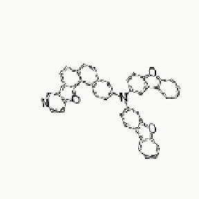 c1ccc2c(c1)oc1cc(N(c3ccc4c(ccc5ccc6c7cnccc7oc6c54)c3)c3ccc4oc5ccccc5c4c3)ccc12